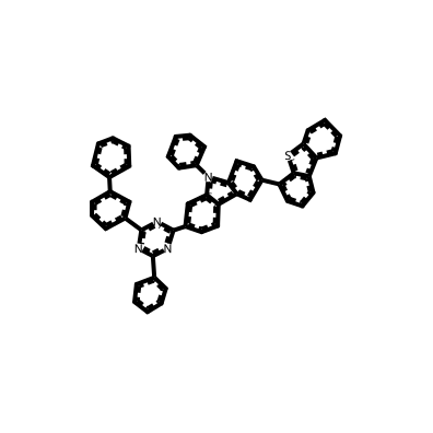 c1ccc(-c2cccc(-c3nc(-c4ccccc4)nc(-c4ccc5c6cc(-c7cccc8c7sc7ccccc78)ccc6n(-c6ccccc6)c5c4)n3)c2)cc1